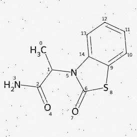 CC(C(N)=O)n1c(=O)sc2ccccc21